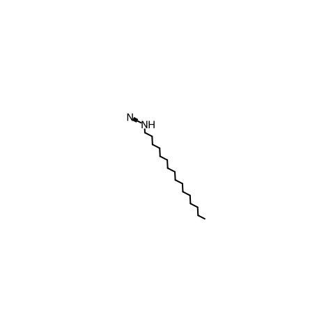 CCCCCCCCCCCCCCCCNC#N